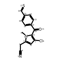 Cn1c(CC#N)cc(Cl)c1C(=O)c1ccc(C=S)cc1